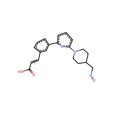 O=NCC1CCN(c2cccc(-c3cccc(/C=C/C(=O)O)c3)n2)CC1